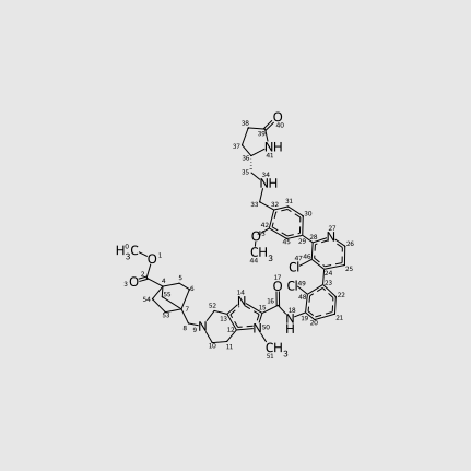 COC(=O)C12CCC(CN3CCc4c(nc(C(=O)Nc5cccc(-c6ccnc(-c7ccc(CNC[C@@H]8CCC(=O)N8)c(OC)c7)c6Cl)c5Cl)n4C)C3)(CC1)C2